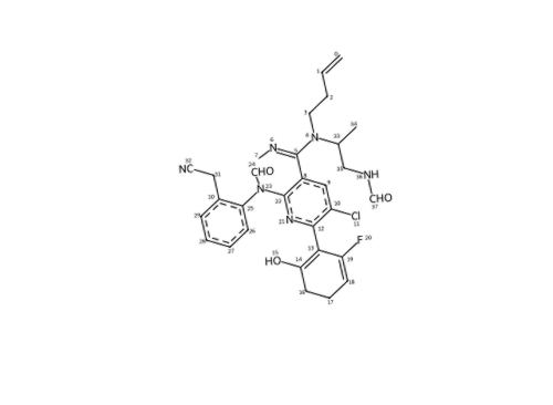 C=CCCN(/C(=N/C)c1cc(Cl)c(C2=C(O)CCC=C2F)nc1N(C=O)c1ccccc1CC#N)C(C)CNC=O